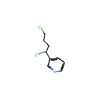 ClCCC[C@H](Cl)c1cccnc1